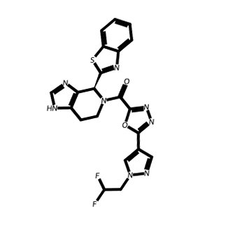 O=C(c1nnc(-c2cnn(CC(F)F)c2)o1)N1CCc2[nH]cnc2[C@H]1c1nc2ccccc2s1